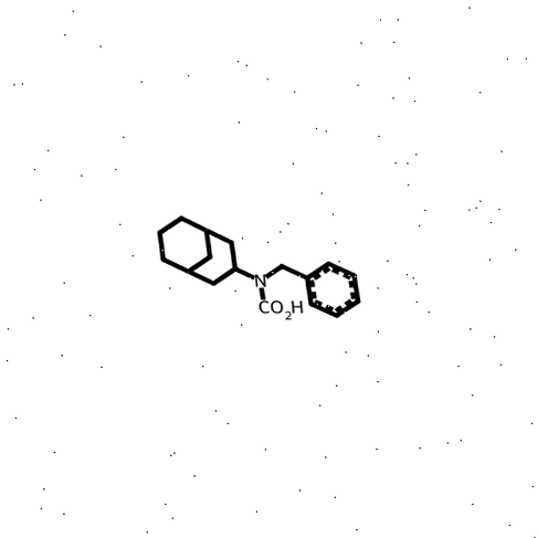 O=C(O)N(Cc1ccccc1)C1CC2CCCC(C2)C1